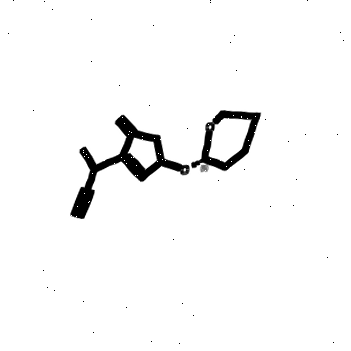 C#CC(C)C1=CC(O[C@H]2CCCCO2)CC1=C